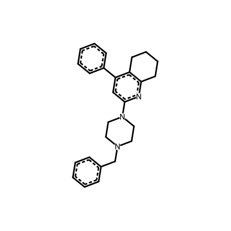 c1ccc(CN2CCN(c3cc(-c4ccccc4)c4c(n3)CCCC4)CC2)cc1